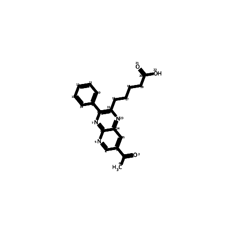 CC(=O)c1cnc2nc(-c3ccccc3)c(CCCCC(=O)O)nc2c1